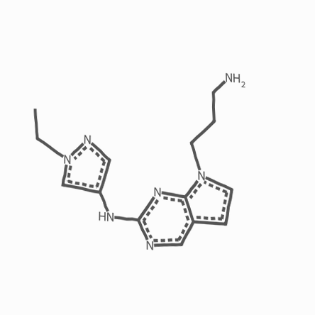 CCn1cc(Nc2ncc3ccn(CCCN)c3n2)cn1